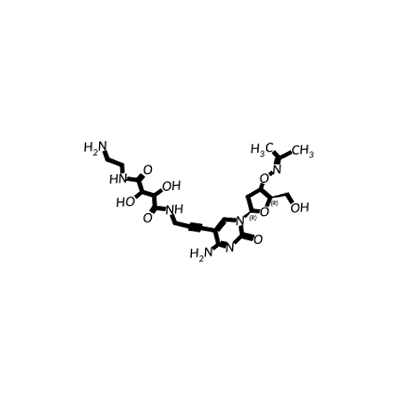 CC(C)=NOC1C[C@H](n2cc(C#CCNC(=O)C(O)C(O)C(=O)NCCN)c(N)nc2=O)O[C@@H]1CO